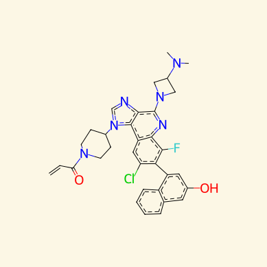 C=CC(=O)N1CCC(n2cnc3c(N4CC(N(C)C)C4)nc4c(F)c(-c5cc(O)cc6ccccc56)c(Cl)cc4c32)CC1